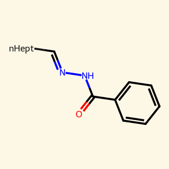 CCCCCCCC=NNC(=O)c1ccccc1